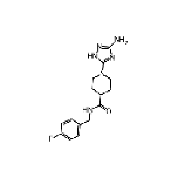 Nc1n[nH]c(N2CCC(C(=O)NCc3ccc(F)cc3)CC2)n1